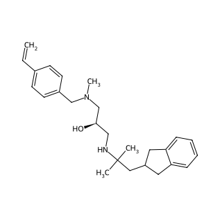 C=Cc1ccc(CN(C)C[C@H](O)CNC(C)(C)CC2Cc3ccccc3C2)cc1